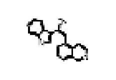 N#CC(=Cc1cccc2cnccc12)c1c[nH]c2ccccc12